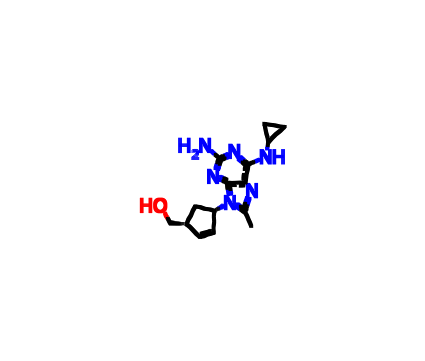 Cc1nc2c(NC3CC3)nc(N)nc2n1[C@H]1C=C[C@@H](CO)C1